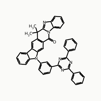 CC1(C)c2cc3c4ccccc4n(-c4cccc(-c5nc(-c6ccccc6)nc(-c6ccccc6)n5)c4)c3cc2C(=O)n2c1nc1ccccc12